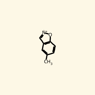 Cc1ccc2c(c1)C=[N+]O2